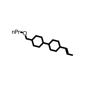 C/C=C/C1CCC(C2CCC(COCCC)CC2)CC1